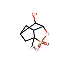 CC12CC3CC1C(OS2(=O)=O)C3O